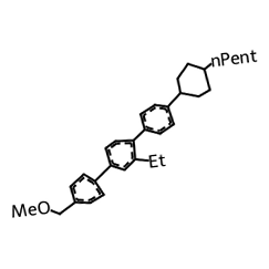 CCCCCC1CCC(c2ccc(-c3ccc(-c4ccc(COC)cc4)cc3CC)cc2)CC1